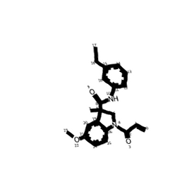 C=CC(=O)N1CC(C)(C(=O)Nc2cccc(CC)c2)c2cc(OC)ccc21